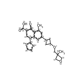 Cc1cc(N2CC(OCC3(C)COC3)C2)nc2c1c(=O)c(C(=O)O)cn2-c1nccs1